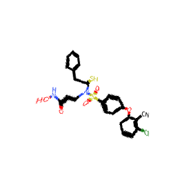 N#Cc1c(Cl)cccc1Oc1ccc(S(=O)(=O)N(CCC(=O)NO)C(S)Cc2ccccc2)cc1